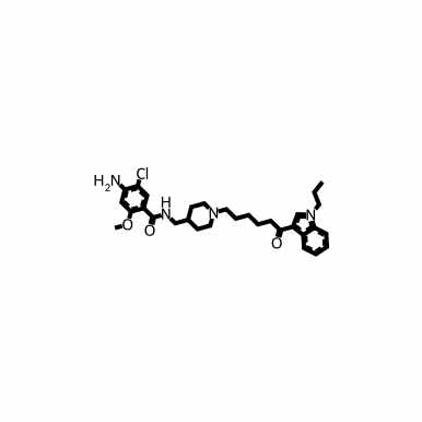 CCCn1cc(C(=O)CCCCCN2CCC(CNC(=O)c3cc(Cl)c(N)cc3OC)CC2)c2ccccc21